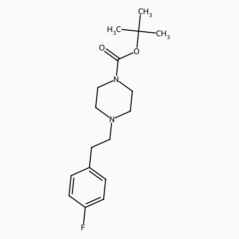 CC(C)(C)OC(=O)N1CCN(CCc2ccc(F)cc2)CC1